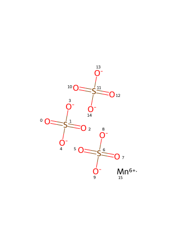 O=S(=O)([O-])[O-].O=S(=O)([O-])[O-].O=S(=O)([O-])[O-].[Mn+6]